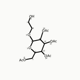 CC(=O)OCC1OC(OCCO)C(OC(C)=O)C(OC(C)=O)C1OC(C)=O